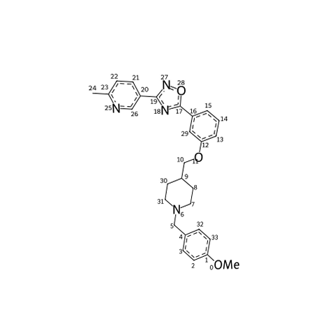 COc1ccc(CN2CCC(COc3cccc(-c4nc(-c5ccc(C)nc5)no4)c3)CC2)cc1